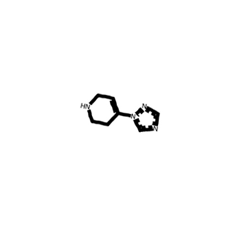 [c]1ncnn1C1=CCNCC1